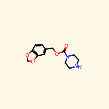 O=C(OCc1ccc2c(c1)OCO2)N1CCNCC1